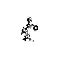 NC(=O)C1(CNc2nc(-c3cc(-c4ccon4)n(Cc4ccccc4F)n3)ncc2F)CC1